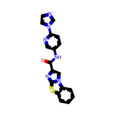 O=C(Nc1ccc(-n2ccnc2)nc1)c1cn2c(n1)sc1ccccc12